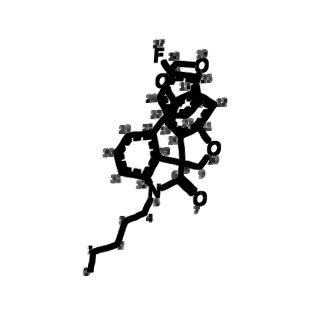 CCCCCN1C(=O)C2(COc3cc4c(cc32)OCO4)c2c(-c3cccc(F)c3)cccc21